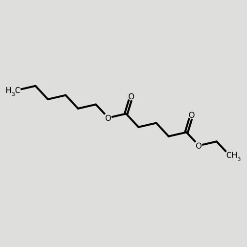 CCCCCCOC(=O)CCCC(=O)OCC